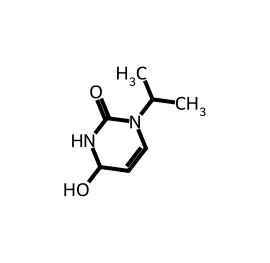 CC(C)N1C=CC(O)NC1=O